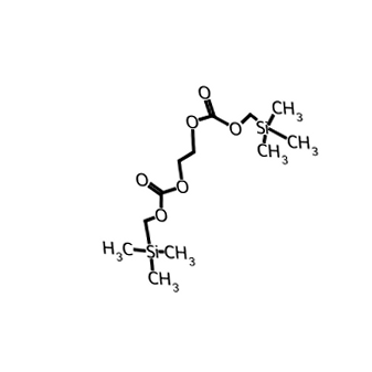 C[Si](C)(C)COC(=O)OCCOC(=O)OC[Si](C)(C)C